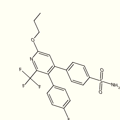 CCCOc1cc(-c2ccc(S(N)(=O)=O)cc2)c(-c2ccc(F)cc2)c(C(F)(F)F)n1